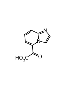 O=C(O)C(=O)c1cccc2nccn12